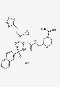 Cc1nc(CCN(C(=O)[C@H](CC(=O)NCC2CN(C(=N)N)CCO2)NS(=O)(=O)c2ccc3ccccc3c2)C2CC2)no1.Cl